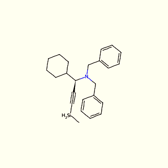 C[SiH2]C#C[C@@H](C1CCCCC1)N(Cc1ccccc1)Cc1ccccc1